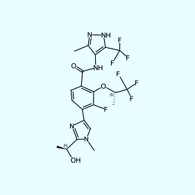 Cc1n[nH]c(C(F)(F)F)c1NC(=O)c1ccc(-c2cn(C)c([C@H](C)O)n2)c(F)c1O[C@@H](C)C(F)(F)F